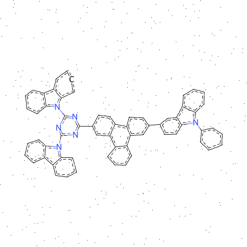 c1ccc(-n2c3ccccc3c3cc(-c4ccc5c6ccc(-c7nc(-n8c9ccccc9c9ccccc98)nc(-n8c9ccccc9c9ccccc98)n7)cc6c6ccccc6c5c4)ccc32)cc1